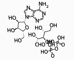 Nc1ncnc2c1ncn2[C@@H]1O[C@H](CO)[C@@H](O)[C@H]1O.O=C[C@H](O)[C@H](O)[C@H](O)CO.O=P(O)(O)OP(=O)(O)O